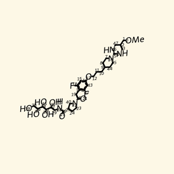 COCC1CNC(N2CCC(CCCOc3cc(F)c(CC(=O)N4CC[C@H](C(=O)NC[C@H](O)[C@@H](O)[C@H](O)[C@H](O)CO)C4)c(F)c3)CC2)NC1